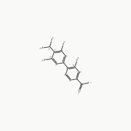 O=C(F)c1ccc(-c2cc(F)c(C(F)F)c(F)c2)c(F)c1